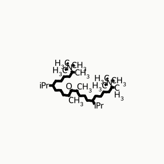 CC(CCCC(CCCCC(C)[N+](C)(C)C)C(C)C)C(=O)C(C)CCCC(CCCCC(C)[N+](C)(C)C)C(C)C